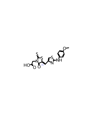 COc1ccc(Nc2nc(/C=C3\SC(=S)N(CC(=O)O)C3=O)cs2)cc1